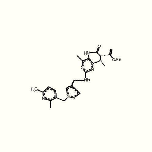 C=C(OC)[C@H]1C(=O)Nc2c(C)nc(NCc3cnn(Cc4ccc(C(F)(F)F)nc4C)c3)nc2N1C